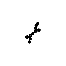 c1ccc(-c2ccc3c4cc(-c5ccc(-c6ccc7c(c6)c6ccc(-c8ccc9ccccc9c8)cc6n7-c6ccccc6)cc5)ccc4n(-c4ccccc4)c3c2)cc1